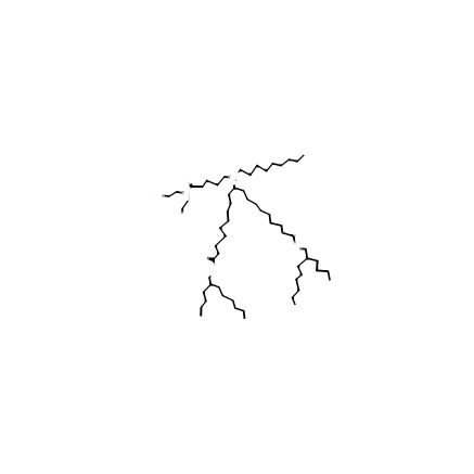 CCCCCCCCCN(CCCCC(=O)N(CCO)CCO)C(CCCCCCCCC(=O)OCC(CCCC)CCCCCC)CCCCCCCCC(=O)OCC(CCCC)CCCCCC